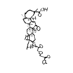 COC(=O)COCC(=O)N[C@H]1CC[C@]2(C)[C@H]3C(=O)C=C4[C@@H]5C[C@@](C)(C(=O)O)CC[C@]5(C)CC[C@@]4(C)[C@]3(C)CC[C@H]2C1(C)C